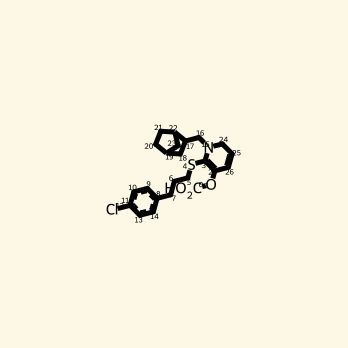 O=C(O)OC1=C(SCCCc2ccc(Cl)cc2)N(CC2CC3CCC2C3)CC=C1